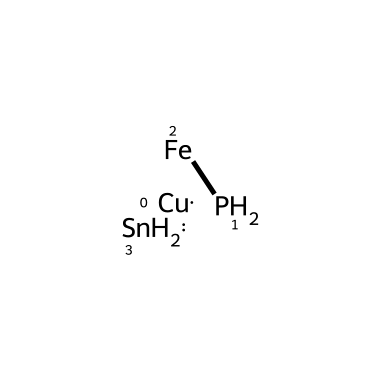 [Cu].[PH2][Fe].[SnH2]